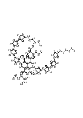 CCCCCCc1ccc(-c2ccc(-c3ccc(-c4ccc(-c5cc6c7c(c(-c8ccc(-c9ccc(-c%10ccc(-c%11ccc(CCCCCC)s%11)s%10)s9)s8)cc8c7c5C(=O)N(C[C@H](CC)CCCC)C8=O)C(=O)N(C[C@@H](CC)CCCC)C6=O)s4)s3)s2)s1